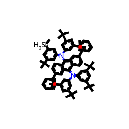 C[SiH2]c1cc(N(c2cc(C(C)(C)C)cc(C(C)(C)C)c2)c2c3ccc(-c4ccccc4)cc3c(N(c3cc(C(C)(C)C)cc(C(C)(C)C)c3)c3cc(C(C)(C)C)cc(C(C)(C)C)c3)c3ccc(-c4ccccc4)cc23)cc(C(C)(C)C)c1